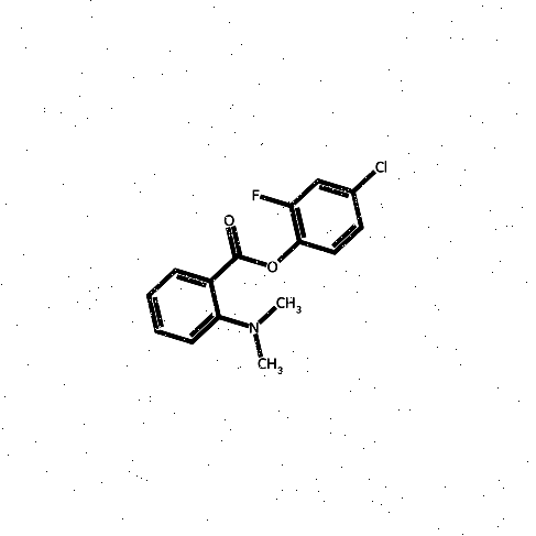 CN(C)c1ccccc1C(=O)Oc1ccc(Cl)cc1F